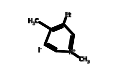 CCc1c[n+](C)ccc1C.[I-]